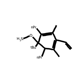 C=CC1=C(C)C(CCC)C(O[SiH3])(C(C)(C)C)C(CCC)=C1C